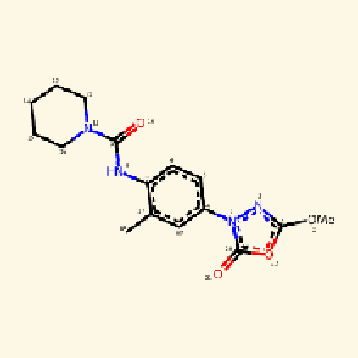 COc1nn(-c2ccc(NC(=O)N3CCCCC3)c(C)c2)c(=O)o1